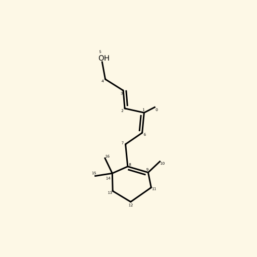 CC(C=CCO)=CCC1=C(C)CCCC1(C)C